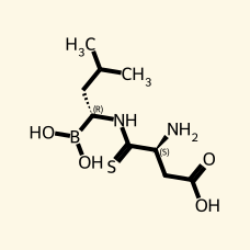 CC(C)C[C@H](NC(=S)[C@@H](N)CC(=O)O)B(O)O